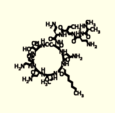 CCCCCCCC[C@H]1NC(=O)[C@H](CCN)NC(=O)[C@@H](NC(=O)[C@H](CCN)NC(=O)C(/C=N/C(=O)[C@H](CCN)NC(=O)[C@H](C)NC)CC)CCNC(=O)[C@H]([C@@H](C)O)NC[C@](C=O)(CCN)NC(=O)[C@H](CCN)NC(=O)[C@H](CC)NC1=O